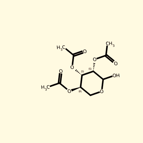 CC(=O)O[C@@H]1[C@H](OC(C)=O)C(O)OC[C@H]1OC(C)=O